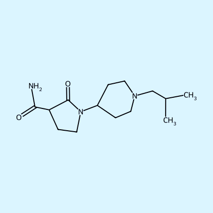 CC(C)CN1CCC(N2CCC(C(N)=O)C2=O)CC1